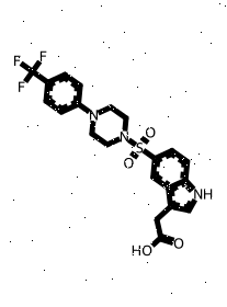 O=C(O)Cc1c[nH]c2ccc(S(=O)(=O)N3CCN(c4ccc(C(F)(F)F)cc4)CC3)cc12